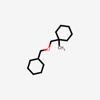 CC1(COCC2CCCCC2)CCCCC1